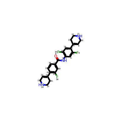 O=C(Nc1cc(F)c(C2=CCNCC2)cc1F)c1ccc(C2=CCNCC2)c(F)c1